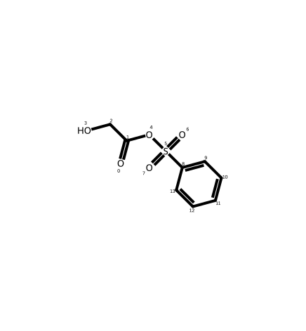 O=C(CO)OS(=O)(=O)c1ccccc1